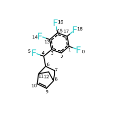 Fc1cc(C(F)C2CC3C=CC2C3)c(F)c(F)c1F